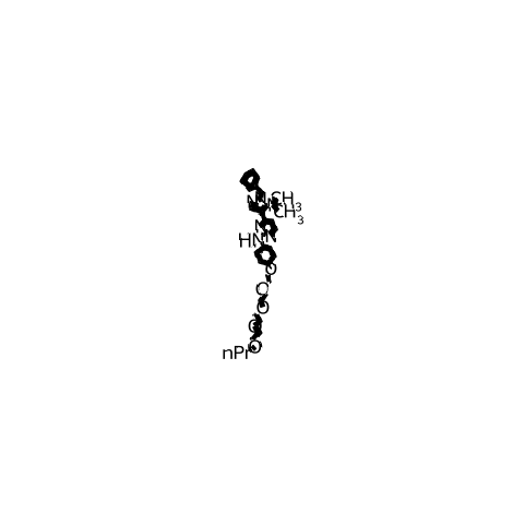 CCCOCCOCCOCCOCCO[C@H]1CC[C@H](Nc2nccc(-c3cnn(Cc4ccccc4)c3N(C)C)n2)CC1